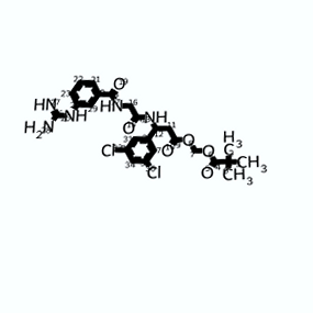 CC(C)(C)C(=O)OCOC(=O)CC(NC(=O)CNC(=O)c1cccc(NC(=N)N)c1)c1cc(Cl)cc(Cl)c1